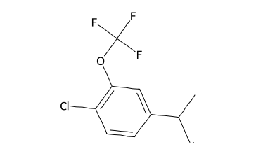 [CH2]C(C)c1ccc(Cl)c(OC(F)(F)F)c1